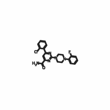 NC(=O)c1cc(-c2ccccc2Cl)nc(N2CCN(c3ccccc3F)CC2)n1